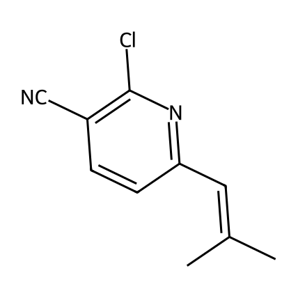 CC(C)=Cc1ccc(C#N)c(Cl)n1